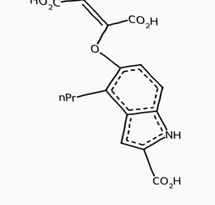 CCCc1c(O/C(=C\C(=O)O)C(=O)O)ccc2[nH]c(C(=O)O)cc12